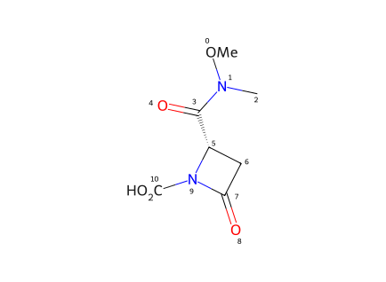 CON(C)C(=O)[C@@H]1CC(=O)N1C(=O)O